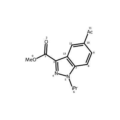 COC(=O)c1nn(C(C)C)c2ccc(C(C)=O)cc12